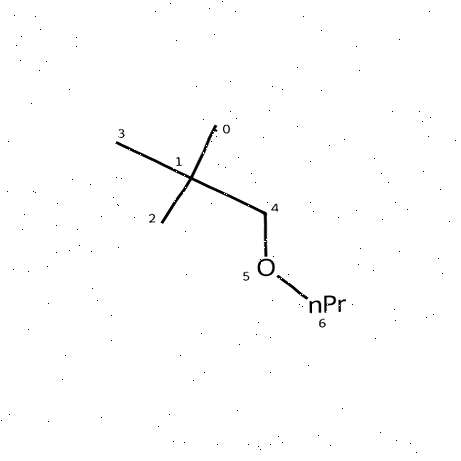 [CH2]C(C)(C)COCCC